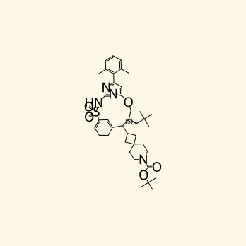 Cc1cccc(C)c1-c1cc2nc(n1)NS(=O)(=O)c1cccc(c1)C(C1CC3(CCN(C(=O)OC(C)(C)C)CC3)C1)[C@H](CC(C)(C)C)CO2